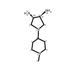 CN1CCC(N2C[C@@H](N)[C@@H](N)C2)CC1